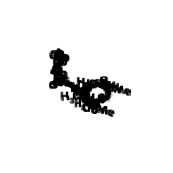 COc1cc2cc(c1Cl)N(C)C(=O)C[C@H](OC(=O)[C@H](C)OCCCSC1CC(=O)N(C[C@H]3CC[C@H](C(=O)ON4C(=O)CCC4=O)CC3)C1=O)[C@]1(C)O[C@H]1[C@H](C)C1C[C@@](O)(NC(=O)O1)[C@H](OC)/C=C/C=C(\C)C2